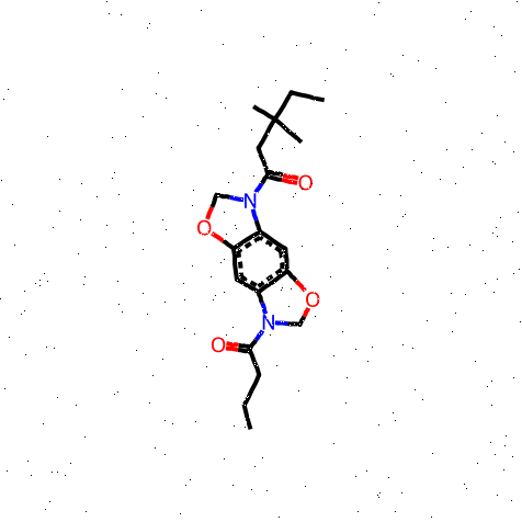 CCCC(=O)N1COc2cc3c(cc21)OCN3C(=O)CC(C)(C)CC